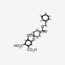 O=C(O)c1cc2c(cc1C(=O)O)OC1(CCN(C(=O)OCc3ccccc3)CC1)CO2